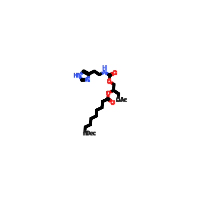 CCCCCCCCCCCCCCCCCC(=O)OC(COC(C)=O)COC(=O)NCCc1c[nH]cn1